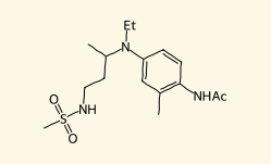 CCN(c1ccc(NC(C)=O)c(C)c1)C(C)CCNS(C)(=O)=O